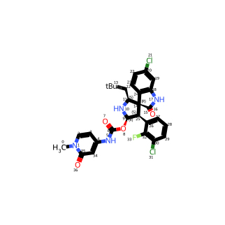 Cn1ccc(NC(=O)O[C@H]2N[C@@H](CC(C)(C)C)[C@@]3(C(=O)Nc4cc(Cl)ccc43)[C@H]2c2cccc(Cl)c2F)cc1=O